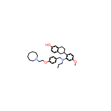 CCCN(Cc1ccc(OCCN2CCCCCCC2)cc1)c1cc(OC)ccc1C1CCc2cc(O)ccc2C1